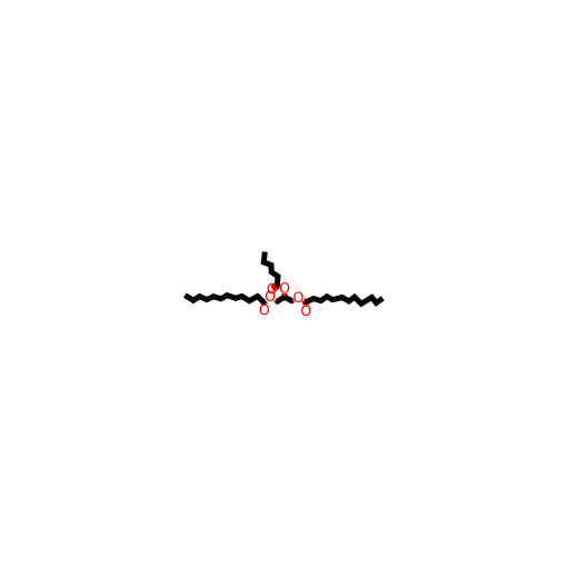 CCCCCCCCCCCC(=O)OCC(COC(=O)CCCCCCCCCCC)OC(=O)CCCCC